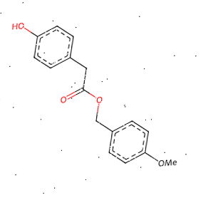 COc1ccc(COC(=O)Cc2ccc(O)cc2)cc1